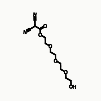 N#CC(C#N)C(=O)OCCOCCOCCOCCO